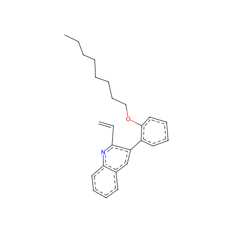 C=Cc1nc2ccccc2cc1-c1ccccc1OCCCCCCCC